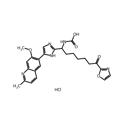 COc1cc2nc(C)ccc2cc1-c1cnc(C(CCCCCC(=O)c2ncco2)NC(=O)O)[nH]1.Cl